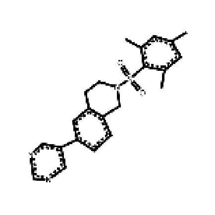 Cc1cc(C)c(S(=O)(=O)N2CCc3cc(-c4cncnc4)ccc3C2)c(C)c1